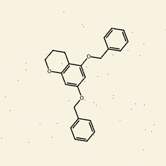 c1ccc(COc2cc3c(c(OCc4ccccc4)c2)CCCO3)cc1